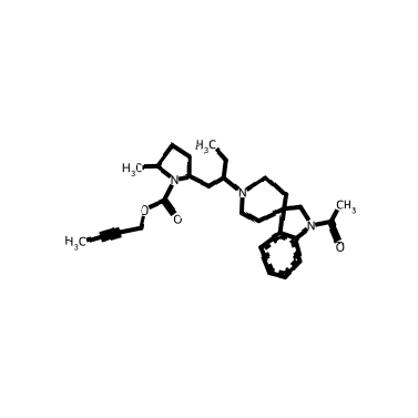 CC#CCOC(=O)N1C(C)CCC1CC(CC)N1CCC2(CC1)CN(C(C)=O)c1ccccc12